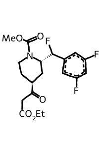 CCOC(=O)CC(=O)[C@H]1CCN(C(=O)OC)[C@H](C(F)c2cc(F)cc(F)c2)C1